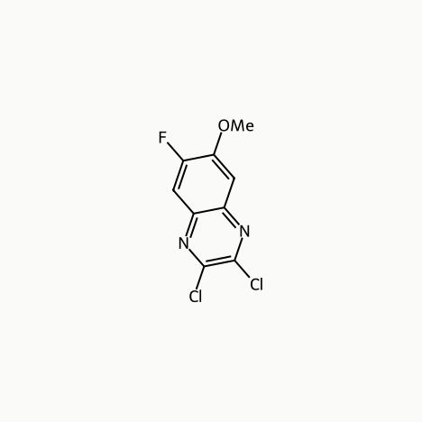 COc1cc2nc(Cl)c(Cl)nc2cc1F